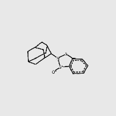 [O-][S+]1c2ccccc2SN1C1C2CC3CC(C2)CC1C3